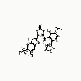 C=C1CC(c2nc3cc(Cl)c(C(F)(F)F)cc3[nH]2)N(C(=O)c2c(-n3nccn3)ccc(OC)c2F)C1